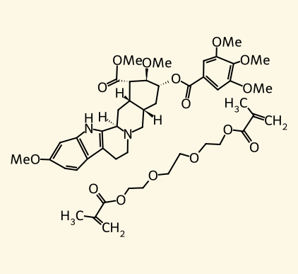 C=C(C)C(=O)OCCOCCOCCOC(=O)C(=C)C.COC(=O)[C@H]1[C@H]2C[C@@H]3c4[nH]c5cc(OC)ccc5c4CCN3C[C@H]2C[C@@H](OC(=O)c2cc(OC)c(OC)c(OC)c2)[C@@H]1OC